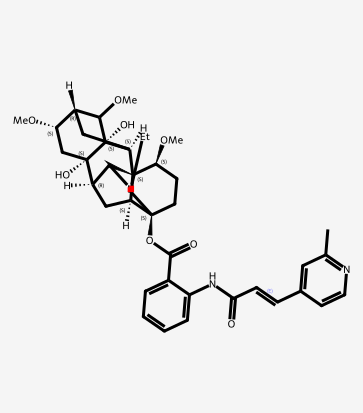 CCN1C[C@]2(OC(=O)c3ccccc3NC(=O)/C=C/c3ccnc(C)c3)CC[C@H](OC)[C@]34C1[C@@H](C[C@H]23)[C@@]1(O)C[C@H](OC)[C@H]2C[C@@H]4[C@]1(O)C2OC